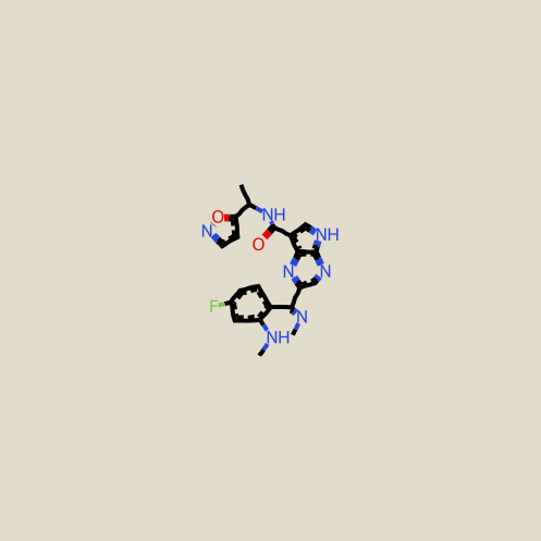 C/N=C(/c1cnc2[nH]cc(C(=O)NC(C)c3ccno3)c2n1)c1ccc(F)cc1NC